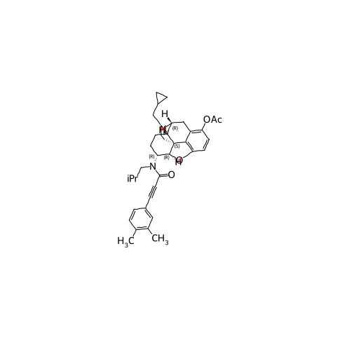 CC(=O)Oc1ccc2c3c1C[C@@H]1[C@@H]4CC[C@@H](N(CC(C)C)C(=O)C#Cc5ccc(C)c(C)c5)[C@H](O2)[C@]34CCN1CC1CC1